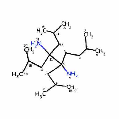 CC(C)CCC(N)(CC(C)C)C(N)(CC(C)C)CC(C)C